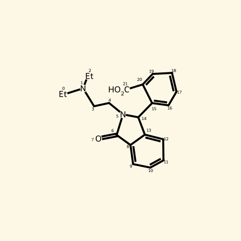 CCN(CC)CCN1C(=O)c2ccccc2C1c1ccccc1C(=O)O